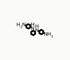 Nc1ccc(Nc2ccccc2Nc2ccc(N)cc2)cc1